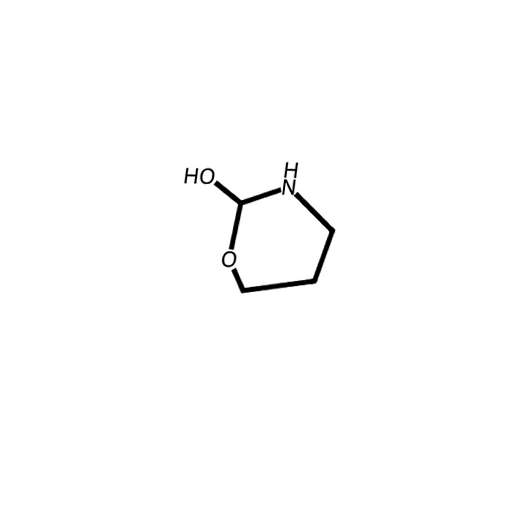 OC1NCCCO1